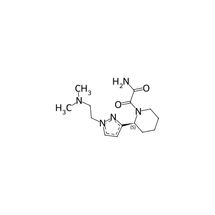 CN(C)CCn1ccc([C@@H]2CCCCN2C(=O)C(N)=O)n1